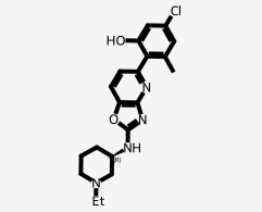 CCN1CCC[C@@H](Nc2nc3nc(-c4c(C)cc(Cl)cc4O)ccc3o2)C1